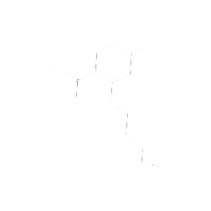 C=C(C)C1CCC(C)CC1OCCOCC[CH]CCC